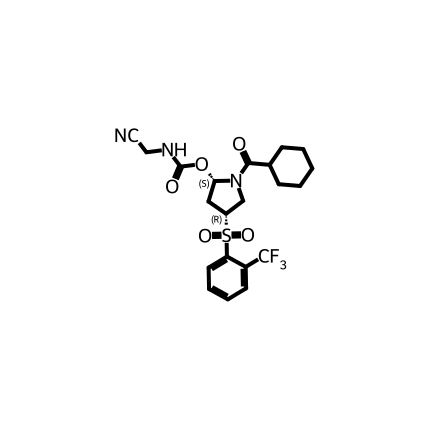 N#CCNC(=O)O[C@H]1C[C@@H](S(=O)(=O)c2ccccc2C(F)(F)F)CN1C(=O)C1CCCCC1